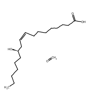 C=O.CCCCCC[C@@H](O)C/C=C\CCCCCCCC(=O)O